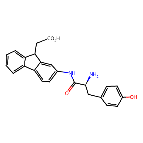 N[C@@H](Cc1ccc(O)cc1)C(=O)Nc1ccc2c(c1)C(CC(=O)O)c1ccccc1-2